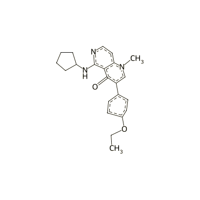 CCOc1ccc(-c2cn(C)c3ccnc(NC4CCCC4)c3c2=O)cc1